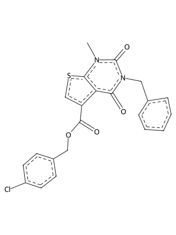 Cn1c(=O)n(Cc2ccccc2)c(=O)c2c(C(=O)OCc3ccc(Cl)cc3)csc21